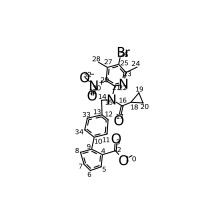 COC(=O)c1ccccc1-c1ccc(CN(C(=O)C2CC2)c2nc(C)c(Br)c(C)c2[N+](=O)[O-])cc1